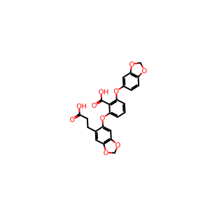 O=C(O)CCc1cc2c(cc1Oc1cccc(Oc3ccc4c(c3)OCO4)c1C(=O)O)OCO2